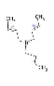 C/C=C/[CH2][Ti]([CH2]/C=C/C)[CH2]/C=C/C